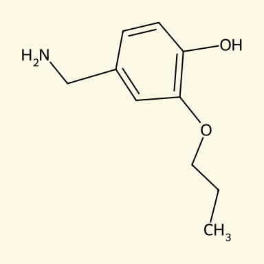 CCCOc1cc(CN)ccc1O